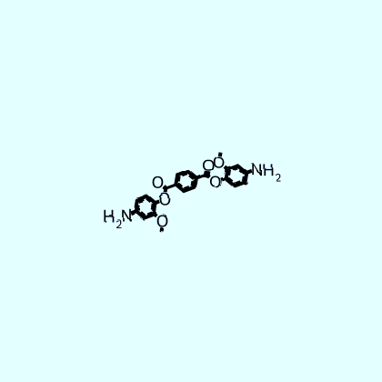 COc1cc(N)ccc1OC(=O)c1ccc(C(=O)Oc2ccc(N)cc2OC)cc1